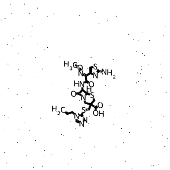 C=CCn1cnnc1SCC1(C(=O)O)CS[C@@H]2C(NC(=O)C(=NOC)c3csc(N)n3)C(=O)N2C1